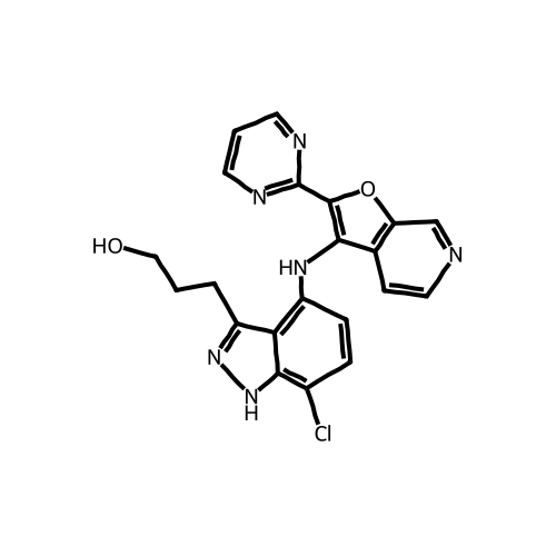 OCCCc1n[nH]c2c(Cl)ccc(Nc3c(-c4ncccn4)oc4cnccc34)c12